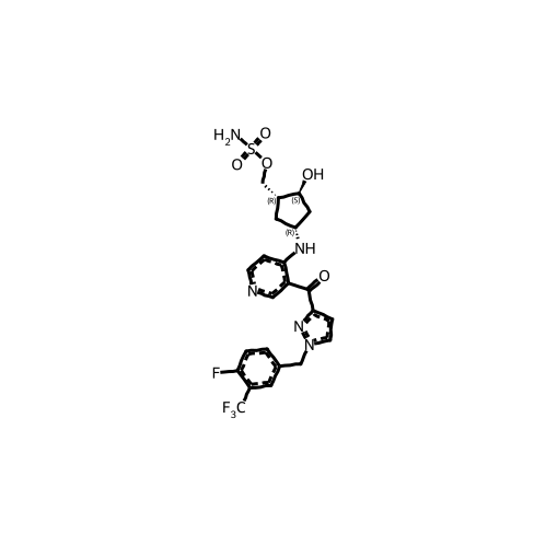 NS(=O)(=O)OC[C@H]1C[C@@H](Nc2ccncc2C(=O)c2ccn(Cc3ccc(F)c(C(F)(F)F)c3)n2)C[C@@H]1O